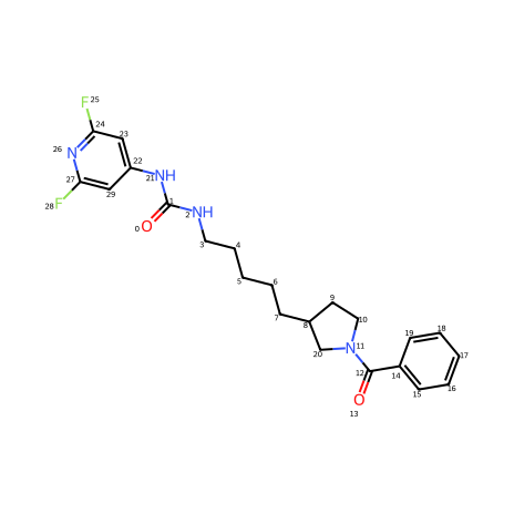 O=C(NCCCCCC1CCN(C(=O)c2ccccc2)C1)Nc1cc(F)nc(F)c1